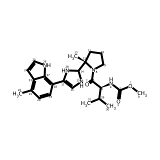 COC(=O)N[C@H](C(=O)N1CCC[C@@]1(C)C1NC=C(c2ccc(C)c3cc[nH]c23)N1)C(C)C